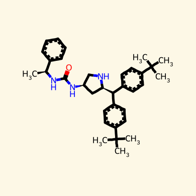 C[C@H](NC(=O)N[C@H]1CN[C@@H](C(c2ccc(C(C)(C)C)cc2)c2ccc(C(C)(C)C)cc2)C1)c1ccccc1